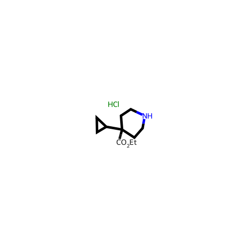 CCOC(=O)C1(C2CC2)CCNCC1.Cl